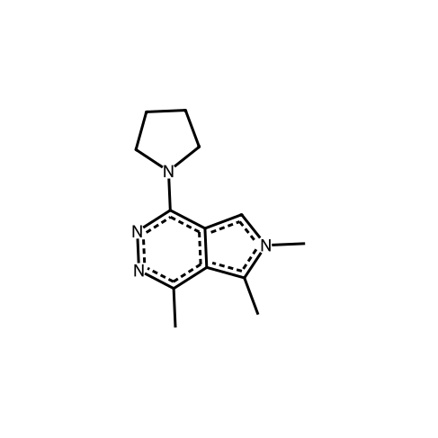 Cc1nnc(N2CCCC2)c2cn(C)c(C)c12